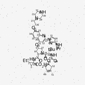 CCC1C[C@]1(NC(=O)C1C[C@@H](Oc2cc(-n3ccc(NC(C)C)n3)nc3cc(OCCN4CCNCC4)ccc23)CN1C(=O)[C@@H](NC(=O)OC1C[C@@H](C)[C@@H](C)C1)C(C)(C)C)C(=O)O